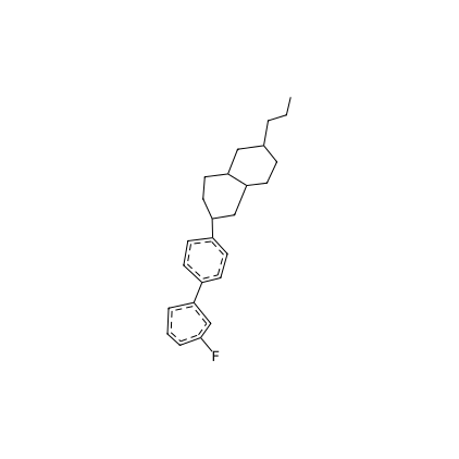 CCCC1CCC2CC(c3ccc(-c4cccc(F)c4)cc3)CCC2C1